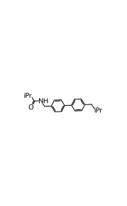 CC(C)Cc1ccc(-c2ccc(CNC(=O)C(C)C)cc2)cc1